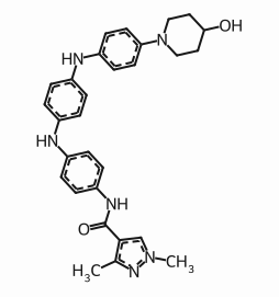 Cc1nn(C)cc1C(=O)Nc1ccc(Nc2ccc(Nc3ccc(N4CCC(O)CC4)cc3)cc2)cc1